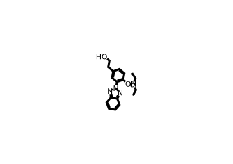 CCOCC.OCCc1ccc(O)c(-n2nc3ccccc3n2)c1